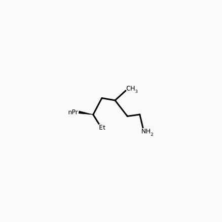 CCC[C@H](CC)CC(C)CCN